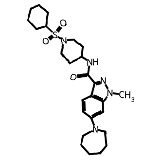 Cn1nc(C(=O)NC2CCN(S(=O)(=O)C3CCCCC3)CC2)c2ccc(N3CCCCCC3)cc21